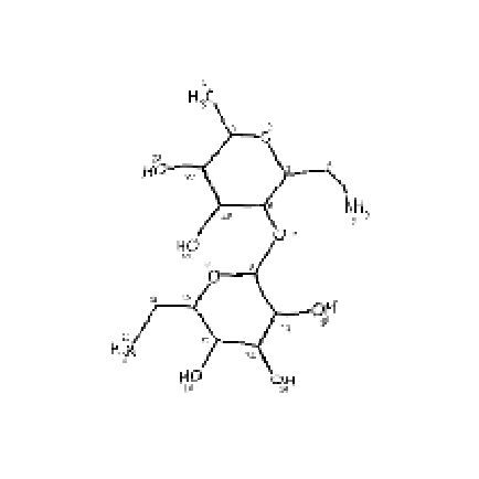 CC1OC(CN)C(OC2OC(CN)C(O)C(O)C2O)C(O)C1O